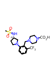 CS(=O)(=O)N[C@H]1CCN(c2cccc(C(F)(F)F)c2CN2CCN(C(=O)O)CC2)C1